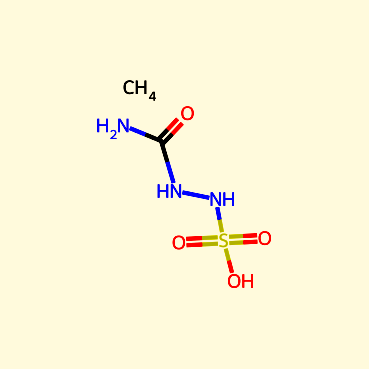 C.NC(=O)NNS(=O)(=O)O